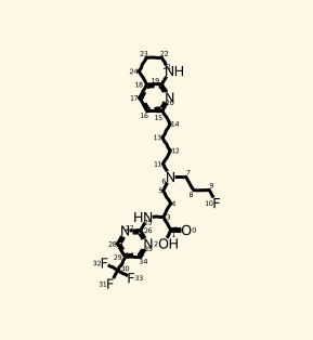 O=C(O)C(CCN(CCCF)CCCCc1ccc2c(n1)NCCC2)Nc1ncc(C(F)(F)F)cn1